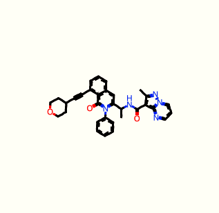 Cc1nn2cccnc2c1C(=O)NC(C)c1cc2cccc(C#CC3CCOCC3)c2c(=O)n1-c1ccccc1